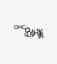 Cc1nc(-c2cn3c(n2)-c2ccc(C=O)cc2OCC3)n(C(C)C)n1